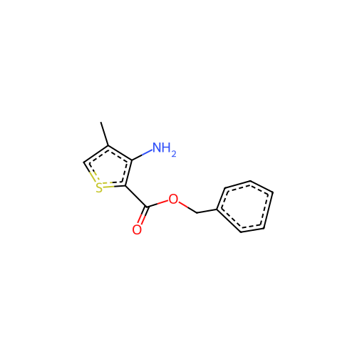 Cc1csc(C(=O)OCc2ccccc2)c1N